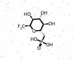 O=P(O)(O)C[C@@H]1O[C@@H](C(F)(F)F)[C@@H](O)[C@H](O)[C@H]1O